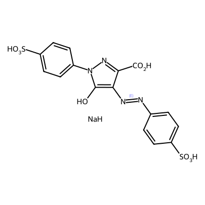 O=C(O)c1nn(-c2ccc(S(=O)(=O)O)cc2)c(O)c1/N=N/c1ccc(S(=O)(=O)O)cc1.[NaH]